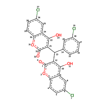 O=c1oc2ccc(Cl)cc2c(O)c1C(c1cccc(Cl)c1)c1c(O)c2cc(Cl)ccc2oc1=O